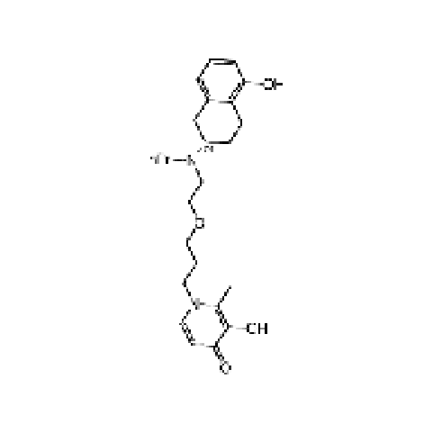 CCCN(CCOCCCn1ccc(=O)c(O)c1C)[C@H]1CCc2c(O)cccc2C1